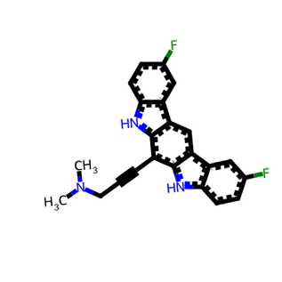 CN(C)CC#Cc1c2[nH]c3ccc(F)cc3c2cc2c1[nH]c1ccc(F)cc12